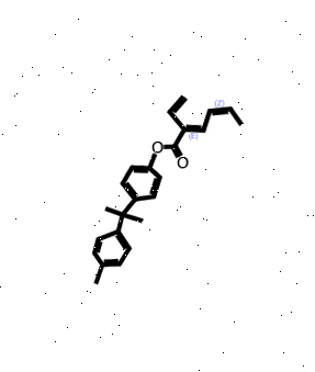 C=C/C(=C\C=C/C)C(=O)Oc1ccc(C(C)(C)c2ccc(C)cc2)cc1